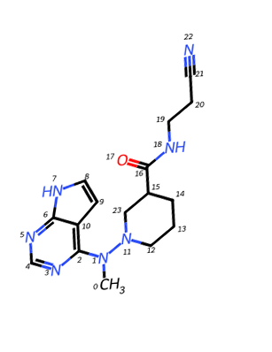 CN(c1ncnc2[nH]ccc12)N1CCCC(C(=O)NCCC#N)C1